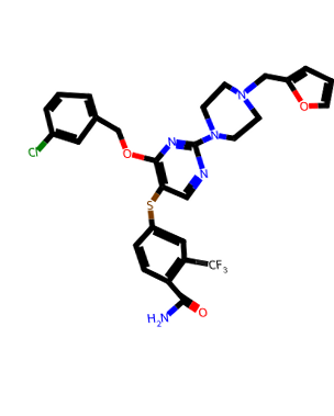 NC(=O)c1ccc(Sc2cnc(N3CCN(Cc4ccco4)CC3)nc2OCc2cccc(Cl)c2)cc1C(F)(F)F